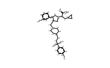 O=C(O)C(CC1CC1)N1CC(CN2CCC(CCC(F)(F)c3ccc(F)cc3)CC2)C(c2cccc(F)c2)C1